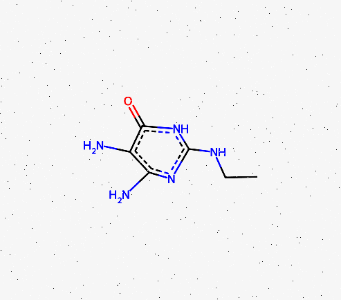 CCNc1nc(N)c(N)c(=O)[nH]1